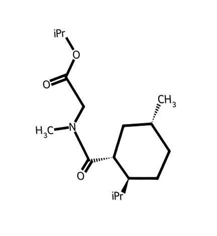 CC(C)OC(=O)CN(C)C(=O)[C@@H]1C[C@H](C)CC[C@H]1C(C)C